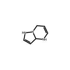 C1=CNC2C=CNN2C1